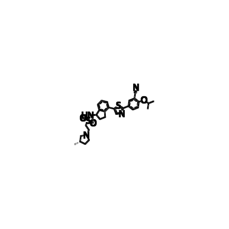 CC(C)Oc1ccc(-c2ncc(-c3cccc4c3CC[C@H]4NS(=O)(=O)CCN3CC[C@H](C)C3)s2)cc1C#N